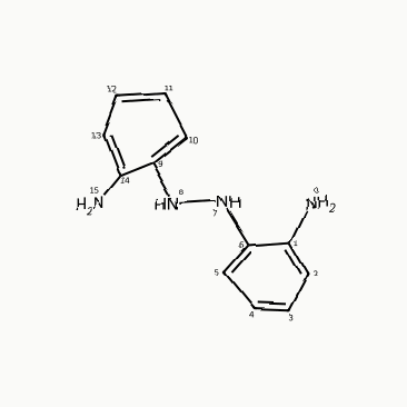 Nc1ccccc1NNc1ccccc1N